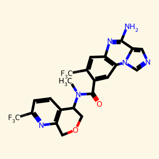 CN(C(=O)c1cc2c(cc1C(F)(F)F)nc(N)c1cncn12)C1COCc2nc(C(F)(F)F)ccc21